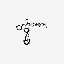 CN(O)C(=O)C(CC1CCCCC1)c1ccc(OCc2ccccn2)cc1